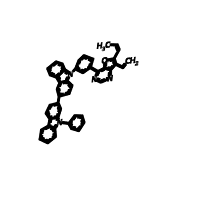 C=Cc1c(/C=C\C)oc2c(-c3cccc(-n4c5ccccc5c5cc(-c6ccc7c8ccccc8n(-c8ccccc8)c7c6)ccc54)c3)ncnc12